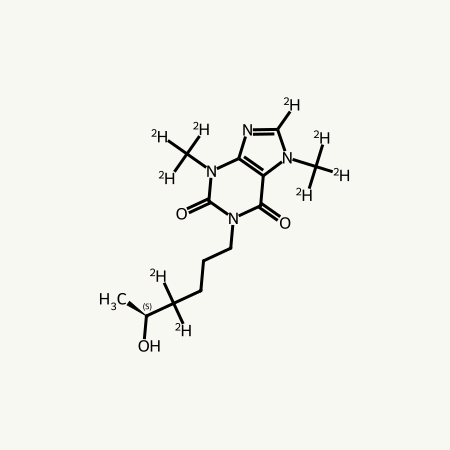 [2H]c1nc2c(c(=O)n(CCCC([2H])([2H])[C@H](C)O)c(=O)n2C([2H])([2H])[2H])n1C([2H])([2H])[2H]